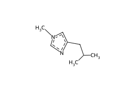 CC(C)Cc1cn(C)cn1